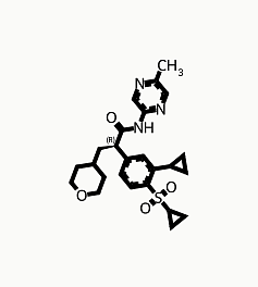 Cc1cnc(NC(=O)[C@H](CC2CCOCC2)c2ccc(S(=O)(=O)C3CC3)c(C3CC3)c2)cn1